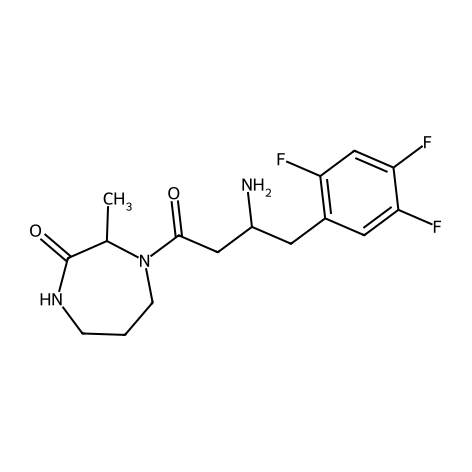 CC1C(=O)NCCCN1C(=O)CC(N)Cc1cc(F)c(F)cc1F